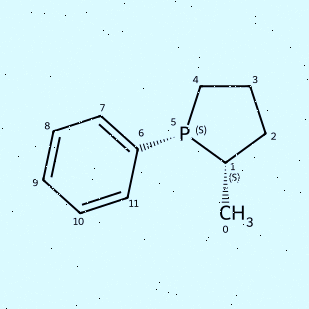 C[C@H]1CCC[P@@]1c1ccccc1